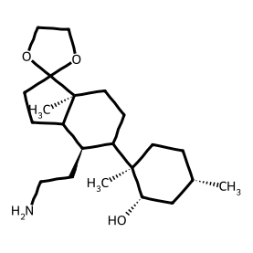 C[C@H]1CC[C@](C)(C2CC[C@@]3(C)C(CCC34OCCO4)[C@@H]2CCN)[C@@H](O)C1